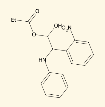 CCC(=O)OC(O)C(Nc1ccccc1)c1ccccc1[N+](=O)[O-]